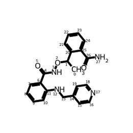 CC(ONC(=O)c1ccccc1NCc1ccncc1)c1ccccc1C(N)=O